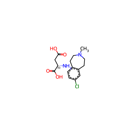 CN1CCc2ccc(Cl)cc2CC1.N[C@@H](CC(=O)O)C(=O)O